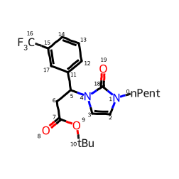 CCCCCn1ccn(C(CC(=O)OC(C)(C)C)c2cccc(C(F)(F)F)c2)c1=O